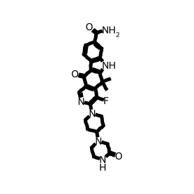 CC1(C)c2[nH]c3cc(C(N)=O)ccc3c2C(=O)c2cnc(N3CCC(N4CCNC(=O)C4)CC3)c(F)c21